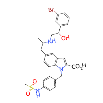 CC(Cc1ccc2c(c1)cc(C(=O)O)n2Cc1ccc(NS(C)(=O)=O)cc1)NCC(O)c1cccc(Br)c1